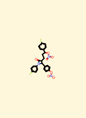 O=C1C(CCC(O[N+](=O)[O-])c2ccc(F)cc2)C(c2ccc(O[N+](=O)[O-])cc2)N1c1ccc(F)cc1